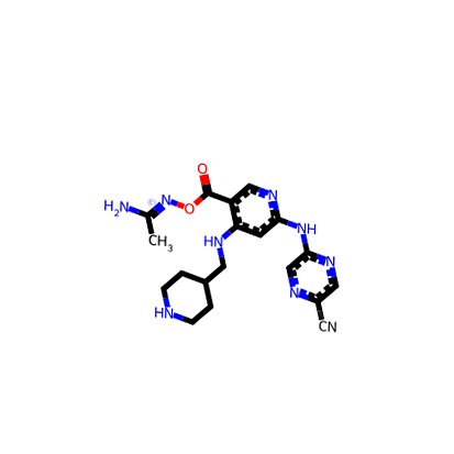 C/C(N)=N\OC(=O)c1cnc(Nc2cnc(C#N)cn2)cc1NCC1CCNCC1